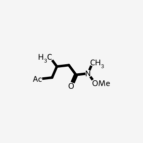 CON(C)C(=O)CC(C)CC(C)=O